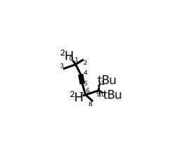 [2H]C(C)(C)C#CC([2H])(C)C(C(C)(C)C)C(C)(C)C